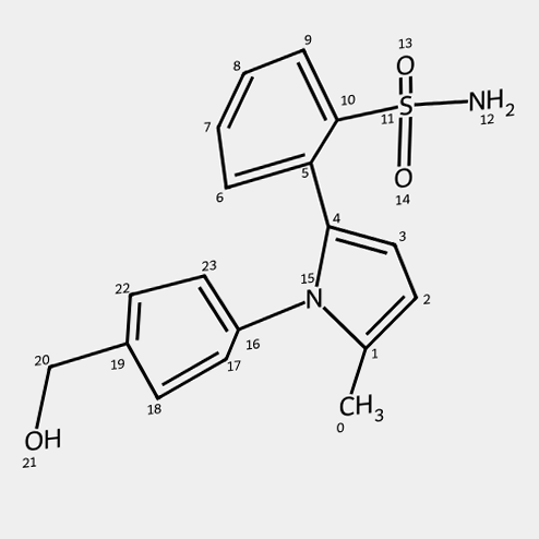 Cc1ccc(-c2ccccc2S(N)(=O)=O)n1-c1ccc(CO)cc1